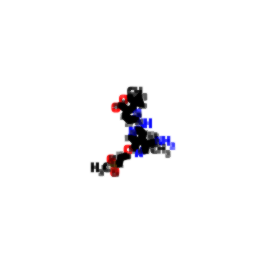 CC[C@@](C)(N)c1cnc(OCCCS(C)(=O)=O)c2cnc(Nc3ccc4c(n3)C3(CC3)[C@H](C)OC4=O)cc12